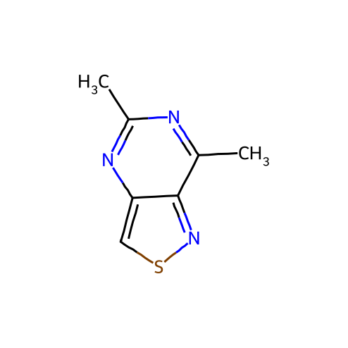 Cc1nc(C)c2nscc2n1